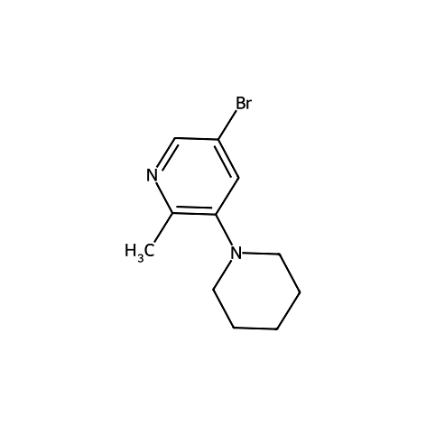 Cc1ncc(Br)cc1N1CCCCC1